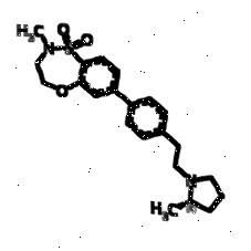 C[C@@H]1CCCN1CCc1ccc(-c2ccc3c(c2)OCCN(C)S3(=O)=O)cc1